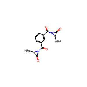 CCCCC1C(=O)N1C(=O)c1cccc(C(=O)N2C(=O)C2CCCC)c1